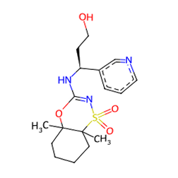 CC12CCCCC1(C)S(=O)(=O)N=C(N[C@@H](CCO)c1cccnc1)O2